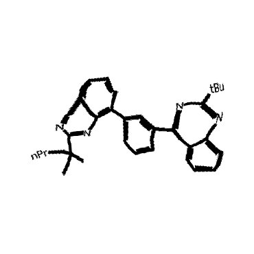 CCCC(C)(C)c1ncc2cccc(-c3cccc(-c4nc(C(C)(C)C)nc5ccccc45)c3)c2n1